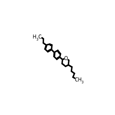 CCCCCC1CCC(c2ccc(-c3ccc(CCC)cc3)cc2)OC1